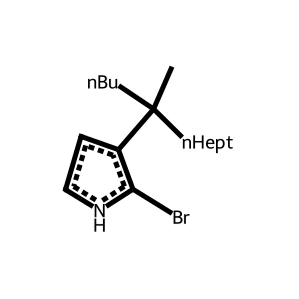 CCCCCCCC(C)(CCCC)c1cc[nH]c1Br